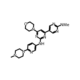 CNc1ncc(-c2cc(N3CCOCC3)nc(Nc3ccc(N4CCN(C)CC4)nc3)n2)cn1